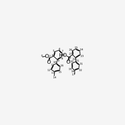 COC(=O)c1ccccc1-c1ccc(C)cc1.Cc1ccc(-c2ccccc2C(=O)O)cc1